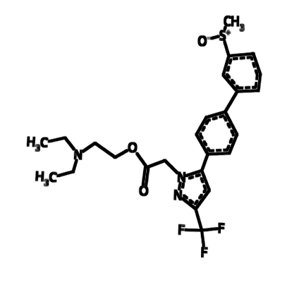 CCN(CC)CCOC(=O)Cn1nc(C(F)(F)F)cc1-c1ccc(-c2cccc([S+](C)[O-])c2)cc1